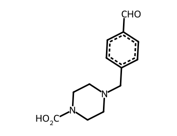 O=Cc1ccc(CN2CCN(C(=O)O)CC2)cc1